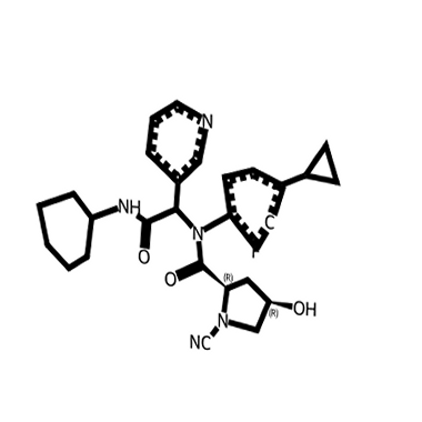 N#CN1C[C@H](O)C[C@@H]1C(=O)N(c1ccc(C2CC2)cc1F)C(C(=O)NC1CCCCC1)c1cccnc1